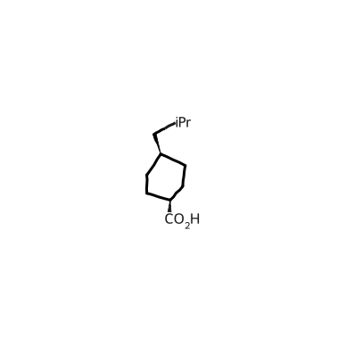 CC(C)C[C@H]1CC[C@@H](C(=O)O)CC1